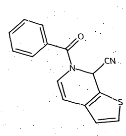 N#CC1c2sccc2C=CN1C(=O)c1ccccc1